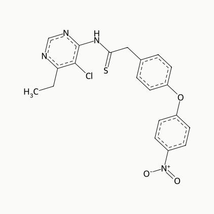 CCc1ncnc(NC(=S)Cc2ccc(Oc3ccc([N+](=O)[O-])cc3)cc2)c1Cl